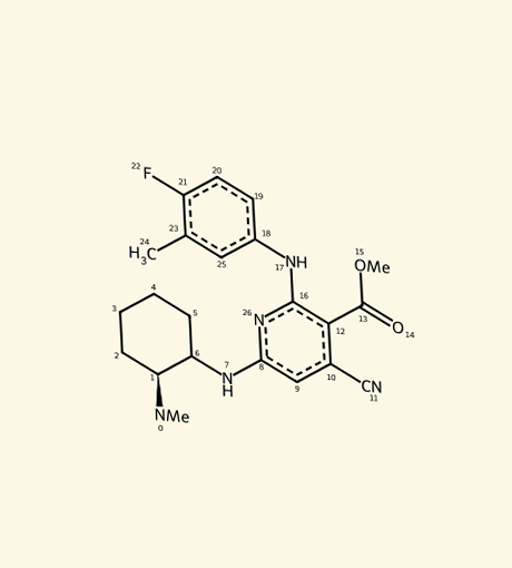 CN[C@H]1CCCCC1Nc1cc(C#N)c(C(=O)OC)c(Nc2ccc(F)c(C)c2)n1